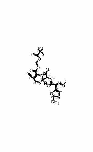 C=CC1=C(C(=O)OCOC(=O)C(C)(C)C)N2C(=O)C(NC(=O)C(=NOC)c3csc(N)n3)[C@@H]2SC1